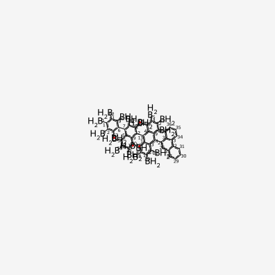 Bc1c(B)c(B)c(-c2c(B)c(B)c(-c3c4c(B)c(B)c(B)c(B)c4c(-c4cc5ccccc5c5ccccc45)c4c(B)c(B)c(B)c(B)c34)c3c(B)c(B)c(B)c(B)c23)c(B)c1B